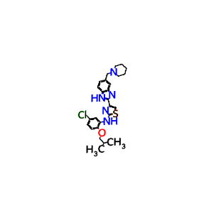 CC(C)COc1ccc(Cl)cc1Nc1nc(-c2nc3cc(CN4CCCCC4)ccc3[nH]2)cs1